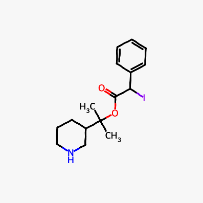 CC(C)(OC(=O)C(I)c1ccccc1)C1CCCNC1